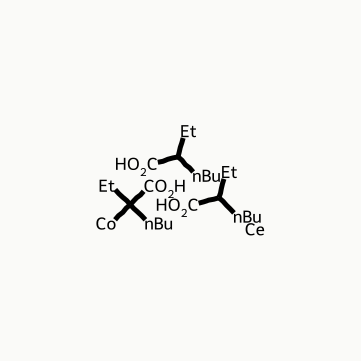 CCCCC(CC)C(=O)O.CCCCC(CC)C(=O)O.CCCC[C]([Co])(CC)C(=O)O.[Ce]